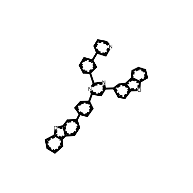 c1cncc(-c2cccc(-c3nc(-c4ccc(-c5ccc6c(c5)oc5ccccc56)cc4)cc(-c4ccc5oc6ccccc6c5c4)n3)c2)c1